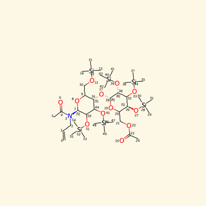 C=CCN(C(C)=O)[C@H]1OC(CO[Si](C)(C)C)[C@H](O[C@H]2OC(COC(C)=O)[C@H](O[Si](C)(C)C)C(O[Si](C)(C)C)[C@H]2O[Si](C)(C)C)C(O[Si](C)(C)C)C1O[Si](C)(C)C